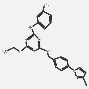 Cc1ccn(-c2ccc(CNc3nc(Nc4cccc(C(F)(F)F)c4)nc(OCC(F)(F)F)n3)cc2)n1